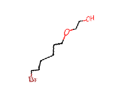 OCCOCCCCCCBr